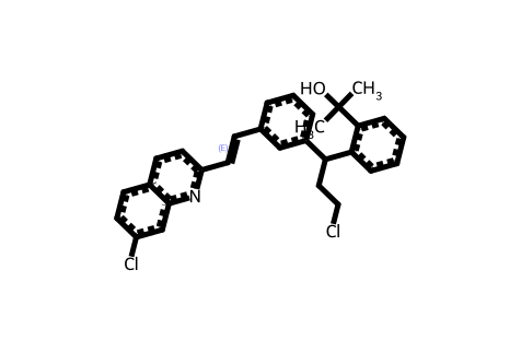 CC(C)(O)c1ccccc1C(CCCl)c1cccc(/C=C/c2ccc3ccc(Cl)cc3n2)c1